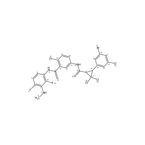 CNc1c(F)ccc(NC(=O)c2cc(NC(=O)C3C(c4cc(Cl)cc(Br)c4)C3(Cl)Cl)ccc2Cl)c1F